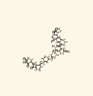 CC(=O)N1CCC(NC2CCN(Cc3cccc(COc4cccc5c4CN(C4CCC(=O)NC4=O)C5=O)c3)CC2)=C(C(N)N2CCCc3cc(C4C=NN(C)C4)c(C(F)F)cc32)C1